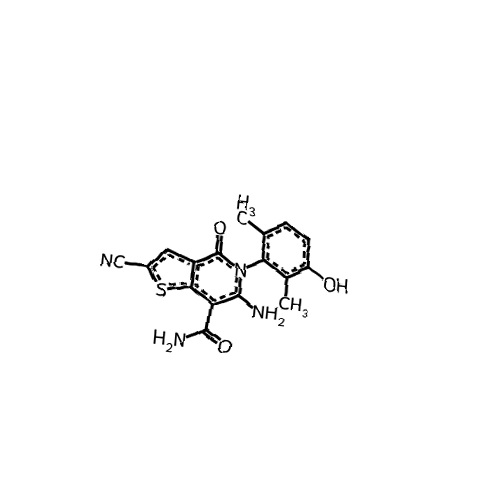 Cc1ccc(O)c(C)c1-n1c(N)c(C(N)=O)c2sc(C#N)cc2c1=O